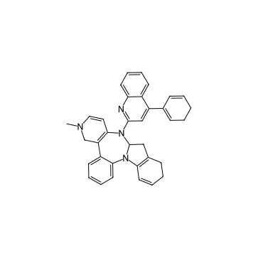 CN1C=CC2=C(C1)c1ccccc1N1C3=C(CCC=C3)CC1N2c1cc(C2=CCCC=C2)c2ccccc2n1